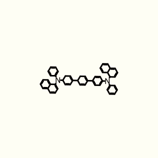 C1=CC2=CC=CC(N(c3ccccc3)c3ccc(C4=CCC(C5=CCC(N(c6ccccc6)c6cccc7ccccc67)C=C5)C=C4)cc3)C2C=C1